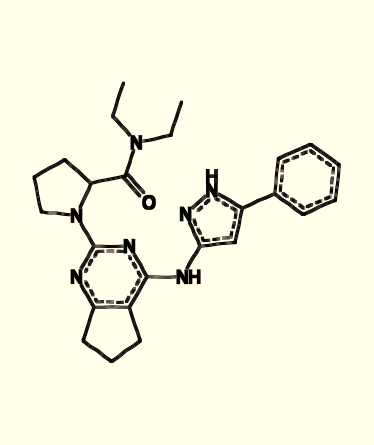 CCN(CC)C(=O)C1CCCN1c1nc2c(c(Nc3cc(-c4ccccc4)[nH]n3)n1)CCC2